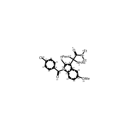 CCCCCC(NC(C)=O)(C(=O)N(CC)CC)c1c(C)n(C(=O)c2ccc(Cl)cc2)c2ccc(OC)cc12